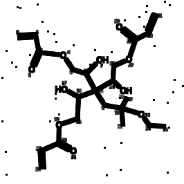 C=CC(=O)OCC(O)C(CC(C)(C)OCC)(C(O)COC(=O)C=C)C(O)COC(=O)C=C